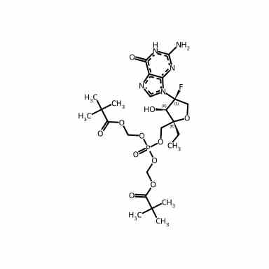 CC[C@]1(COP(=O)(OCOC(=O)C(C)(C)C)OCOC(=O)C(C)(C)C)OC[C@@](F)(n2cnc3c(=O)[nH]c(N)nc32)[C@@H]1O